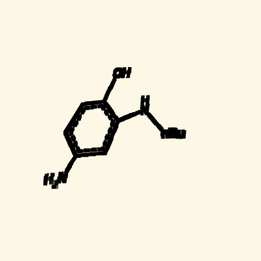 CCCCNc1cc(N)ccc1O